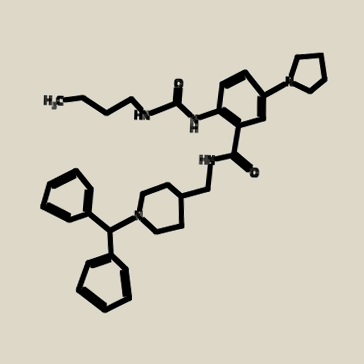 CCCCNC(=O)Nc1ccc(N2CCCC2)cc1C(=O)NCC1CCN(C(c2ccccc2)c2ccccc2)CC1